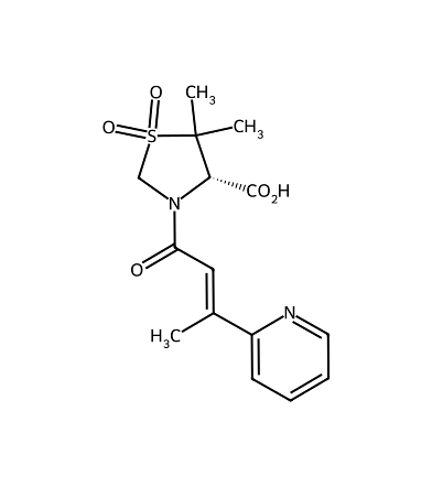 C/C(=C\C(=O)N1CS(=O)(=O)C(C)(C)[C@@H]1C(=O)O)c1ccccn1